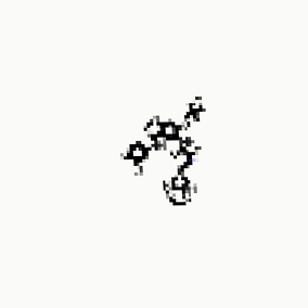 CC1(COc2cc3ncnc(Nc4ccc(F)c(Cl)c4)c3cc2NC(=O)/C(F)=C\CN2C[C@@H]3OCCO[C@H]3C2)COC1